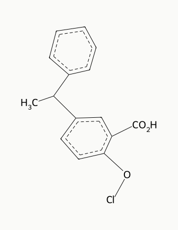 CC(c1ccccc1)c1ccc(OCl)c(C(=O)O)c1